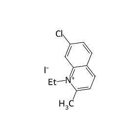 CC[n+]1c(C)ccc2ccc(Cl)cc21.[I-]